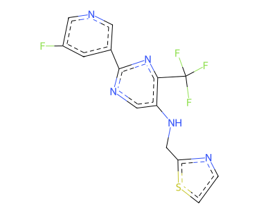 Fc1cncc(-c2ncc(NCc3nccs3)c(C(F)(F)F)n2)c1